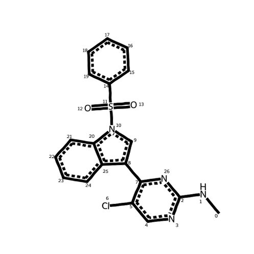 CNc1ncc(Cl)c(-c2cn(S(=O)(=O)c3ccccc3)c3ccccc23)n1